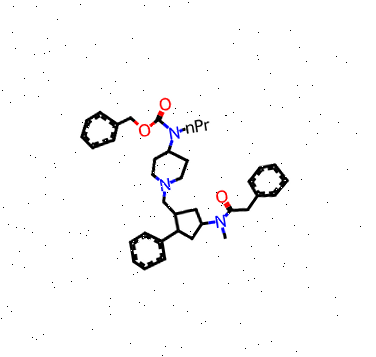 CCCN(C(=O)OCc1ccccc1)C1CCN(CC2CC(N(C)C(=O)Cc3ccccc3)CC2c2ccccc2)CC1